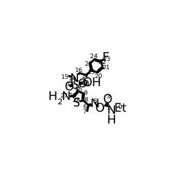 CCNC(=O)ON=C(C)c1cc(S(=O)(=O)N(C)CC(O)c2ccc(F)cc2)c(N)s1